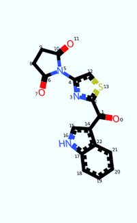 O=C(c1nc(N2C(=O)CCC2=O)cs1)c1c[nH]c2ccccc12